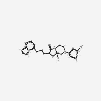 O=C1C(CCCc2cccc3ncnn23)C[C@H]2CN(c3cncc(Cl)c3)CCN12